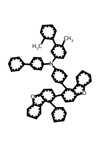 Cc1ccccc1-c1cc(N(c2ccc(-c3ccccc3)cc2)c2ccc(-c3c(-c4ccc5oc6ccccc6c5c4-c4ccccc4)ccc4oc5ccccc5c34)cc2)ccc1C